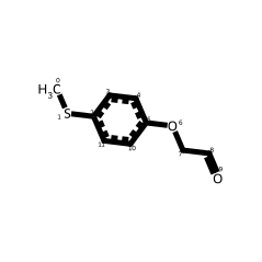 CSc1ccc(OCC=O)cc1